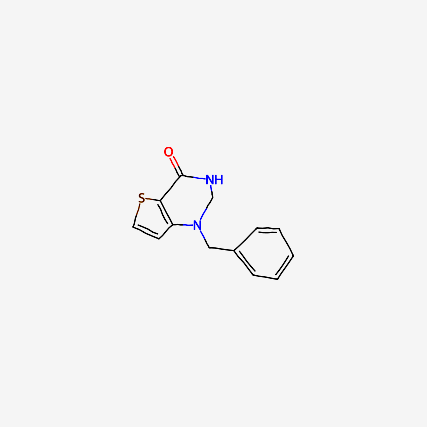 O=C1NCN(Cc2ccccc2)c2ccsc21